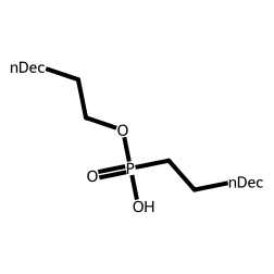 CCCCCCCCCCCCOP(=O)(O)CCCCCCCCCCCC